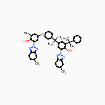 CC(C)(C)c1cc(-n2nc3ccc(C(F)(F)F)cc3n2)c(O)c(C(C)(C)C)c1.CC(C)(c1ccccc1)c1cc(-n2nc3ccc(C(F)(F)F)cc3n2)c(O)c(C(C)(C)c2ccccc2)c1